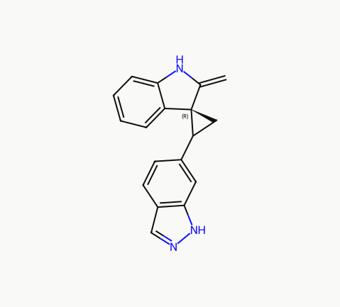 C=C1Nc2ccccc2[C@]12CC2c1ccc2cn[nH]c2c1